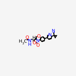 CC(=O)NC[C@@H]1OC(=O)N2c3ccc(-c4ccc(C5(C#N)CC5)nc4)cc3OC[C@@H]12